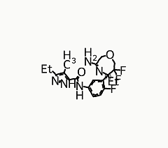 CCc1n[nH]c(C(=O)Nc2ccc(F)c([C@@]3(CC)N=C(N)COCC3(F)F)c2)c1C